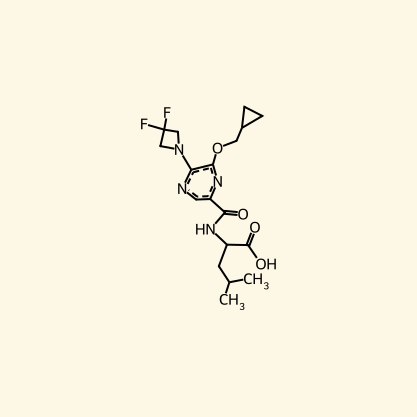 CC(C)CC(NC(=O)c1cnc(N2CC(F)(F)C2)c(OCC2CC2)n1)C(=O)O